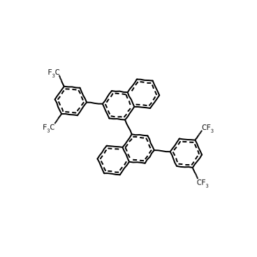 FC(F)(F)c1cc(-c2cc(-c3cc(-c4cc(C(F)(F)F)cc(C(F)(F)F)c4)cc4ccccc34)c3ccccc3c2)cc(C(F)(F)F)c1